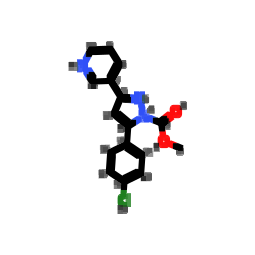 COC(=O)n1nc(-c2cccnc2)cc1-c1ccc(Cl)cc1